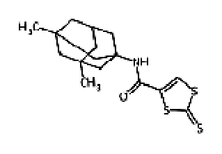 CC12CC3CC(C)(C1)CC(NC(=O)c1csc(=S)s1)(C3)C2